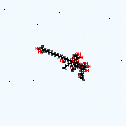 CCCCCCC(CCCC(O)CCCCCCCCCCCCC[C@@H](O)C(=O)O)O[C@H]1OC[C@H](O)[C@@H](O)[C@@H]1O[C@H]1OC[C@H](OC(C)=O)[C@@H](O)[C@@H]1O[C@H]1O[C@@H](COC(=O)CC(C)C)[C@H](O)[C@@H](O)[C@@H]1O